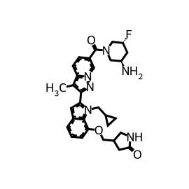 Cc1c(-c2cc3cccc(OCC4CNC(=O)C4)c3n2CC2CC2)nn2cc(C(=O)N3C[C@H](N)C[C@@H](F)C3)ccc12